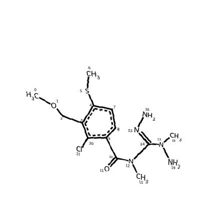 COCc1c(SC)ccc(C(=O)N(C)/C(=N/N)N(C)N)c1Cl